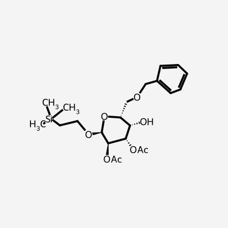 CC(=O)O[C@H]1[C@@H](OCC[Si](C)(C)C)O[C@H](COCc2ccccc2)[C@H](O)[C@@H]1OC(C)=O